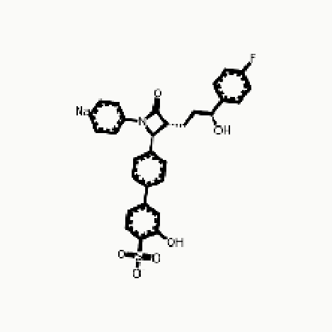 O=C1[C@H](CC[C@H](O)c2ccc(F)cc2)[C@@H](c2ccc(-c3ccc(S(=O)(=O)[O-])c(O)c3)cc2)N1c1ccccc1.[Na+]